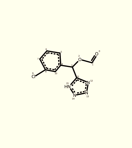 O=[C]OC(c1cccc(Cl)c1)c1nnn[nH]1